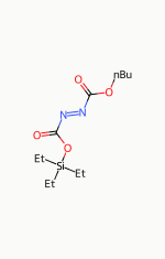 CCCCOC(=O)/N=N/C(=O)O[Si](CC)(CC)CC